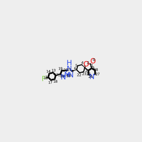 O=C1O[C@]2(CC[C@H](c3nn4nc(-c5ccc(F)cc5)cc4[nH]3)CC2)c2cnccc21